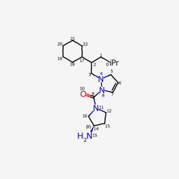 CC(C)CC(CN1CC=CN1C(=O)N1CC[C@@H](N)C1)C1CCCCC1